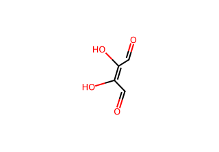 O=C/C(O)=C(/O)C=O